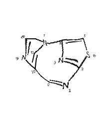 C1=N\c2nc(cs2)-n2cnc/1c2